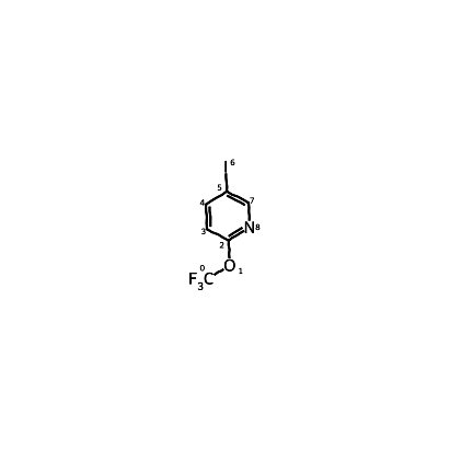 FC(F)(F)Oc1ccc(I)cn1